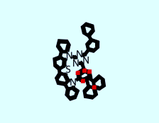 c1ccc(-c2ccc(-c3nc(-c4cccc(-c5ccccc5)c4)nc(-n4c5ccccc5c5ccc6c7ccc8c9ccccc9n(-c9cccc(-c%10ccccc%10)c9)c8c7sc6c54)n3)cc2)cc1